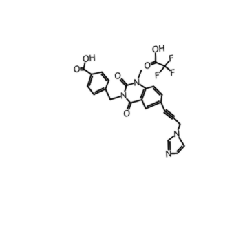 Cn1c(=O)n(Cc2ccc(C(=O)O)cc2)c(=O)c2cc(C#CCn3ccnc3)ccc21.O=C(O)C(F)(F)F